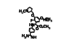 CCOC(=O)C(Nc1ccc(C(=N)N)cc1)c1cc(OCC)cc(OCC2CCCN(C)C2)c1F.Cl